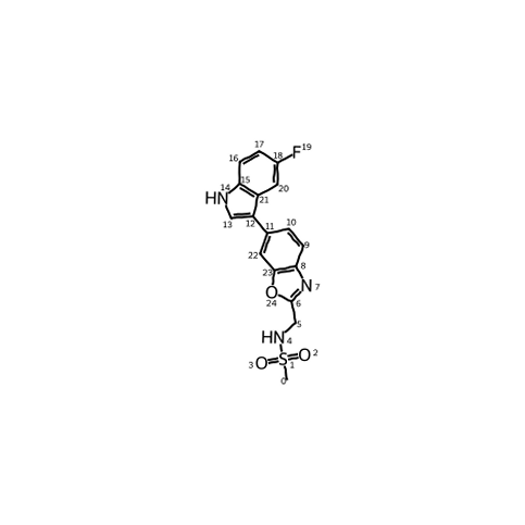 CS(=O)(=O)NCc1nc2ccc(-c3c[nH]c4ccc(F)cc34)cc2o1